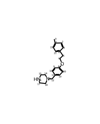 Cc1ccc(CCOc2ccc(CN3CCNCC3)cc2)cc1